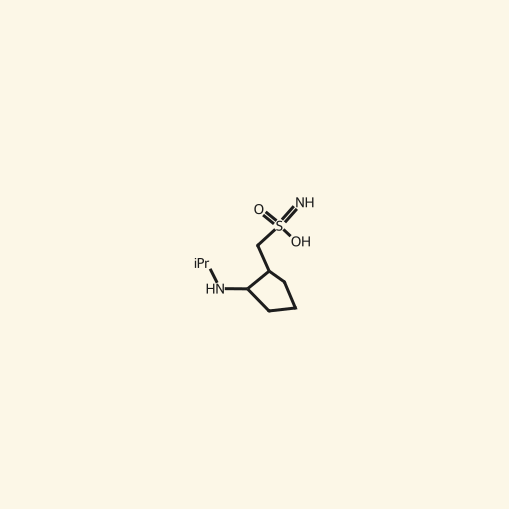 CC(C)NC1CCCC1CS(=N)(=O)O